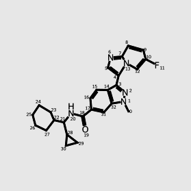 Cn1nc(-c2cnc3ccc(F)cn23)c2ccc(C(=O)NC(C3CCCCC3)C3CC3)cc21